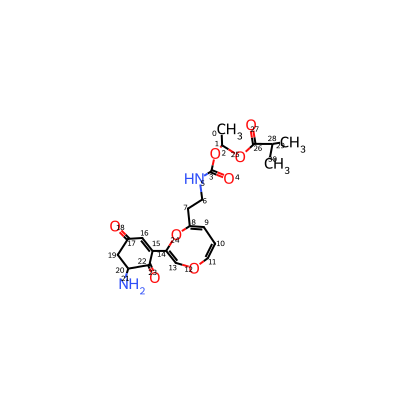 CC(OC(=O)NCCc1cccocc(C2=CC(=O)CC(N)C2=O)o1)OC(=O)C(C)C